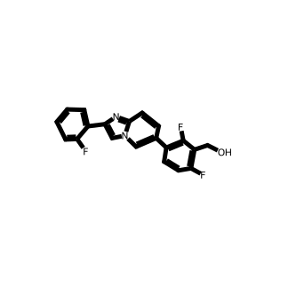 OCc1c(F)ccc(-c2ccc3nc(-c4ccccc4F)cn3c2)c1F